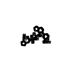 COc1cc(-c2ccc3c(c2NC(=O)NS(=O)(=O)N(C)CC2CCCN2C)CCC3)ccn1